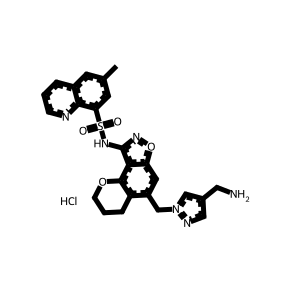 Cc1cc(S(=O)(=O)Nc2noc3cc(Cn4cc(CN)cn4)c4c(c23)OCCC4)c2ncccc2c1.Cl